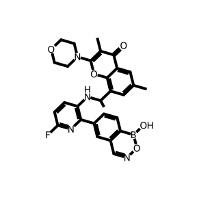 Cc1cc(C(C)Nc2ccc(F)nc2-c2ccc3c(c2)C=NOB3O)c2oc(N3CCOCC3)c(C)c(=O)c2c1